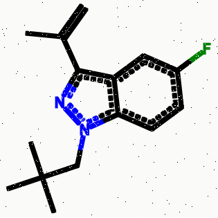 C=C(C)c1nn(CC(C)(C)C)c2ccc(F)cc12